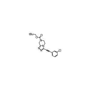 CC(C)(C)COC(=O)N1CCn2c(C#Cc3cccc(Cl)c3)nnc2C1